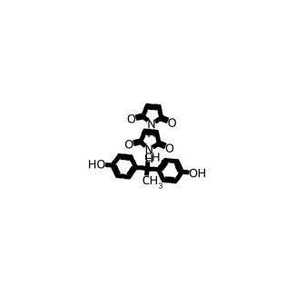 CC(C)(c1ccc(O)cc1)c1ccc(O)cc1.O=C1C=CC(=O)N1.O=C1C=CC(=O)N1